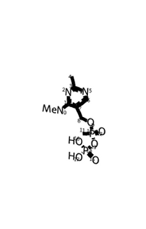 CNc1nc(C)ncc1COP(C)(=O)OP(=O)(O)O